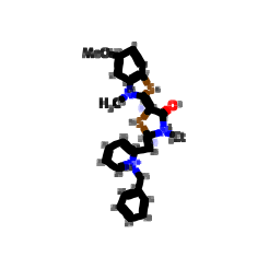 CCn1c(=O)/c(=C2\Sc3ccc(OC)cc3N2C)s/c1=C\c1cccc[n+]1Cc1ccccc1